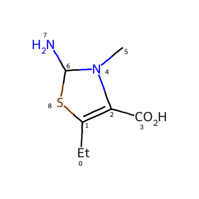 CCC1=C(C(=O)O)N(C)C(N)S1